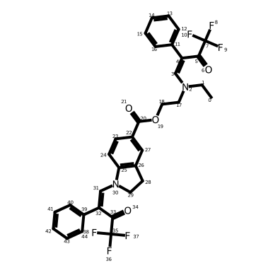 CCN(/C=C(\C(=O)C(F)(F)F)c1ccccc1)CCOC(=O)c1ccc2c(c1)CCN2/C=C(\C(=O)C(F)(F)F)c1ccccc1